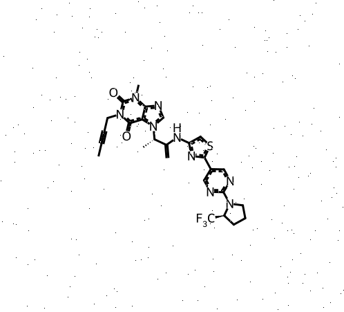 C=C(Nc1csc(-c2cnc(N3CCC[C@H]3C(F)(F)F)nc2)n1)[C@H](C)n1cnc2c1c(=O)n(CC#CC)c(=O)n2C